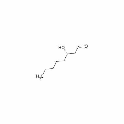 CCCCC[C@H](O)CC=O